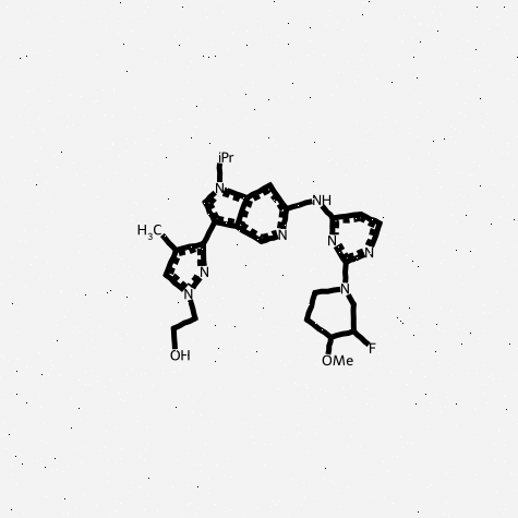 COC1CCN(c2nccc(Nc3cc4c(cn3)c(-c3nn(CCO)cc3C)cn4C(C)C)n2)CC1F